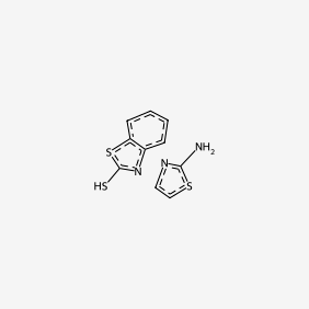 Nc1nccs1.Sc1nc2ccccc2s1